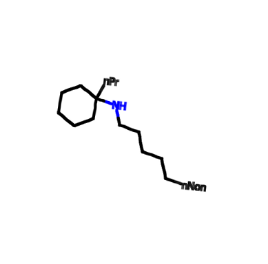 CCCCCCCCCCCCCCNC1(CCC)CCCCC1